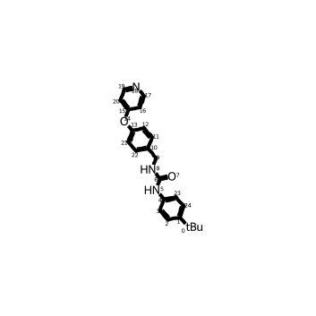 CC(C)(C)c1ccc(NC(=O)NCc2ccc(Oc3ccncc3)cc2)cc1